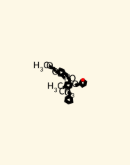 COCCOc1ccc2c(c1)CN(C(=O)c1cc(C(C)C)c(OCc3ccccc3)cc1OCc1ccccc1)C2